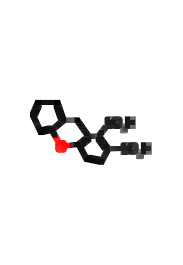 O=S(=O)(O)c1ccc2c(c1S(=O)(=O)O)Cc1ccccc1O2